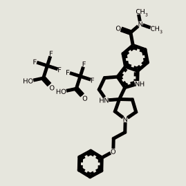 CN(C)C(=O)c1ccc2[nH]c3c(c2c1)CCNC31CCN(CCOc2ccccc2)C1.O=C(O)C(F)(F)F.O=C(O)C(F)(F)F